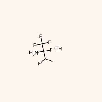 CC(F)C(N)(F)C(F)(F)F.Cl